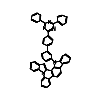 c1ccc(-c2nc(-c3ccccc3)nc(-c3ccc(-c4cccc(-n5c6ccccc6c6ccc7c8ccccc8n8c9ccccc9cc8c7c65)c4)cc3)n2)cc1